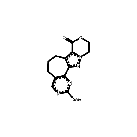 CSc1ncc2c(n1)-c1nn3c(c1CCC2)C(=O)OCC3